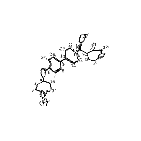 CC(C)N1CCC(Oc2ccc(C3=CCN(C(=O)C4CCOCC4)CC3)cc2)CC1